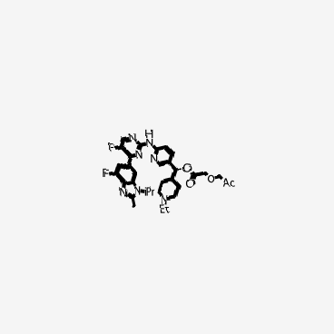 CCN1CCC([C@@H](OC(=O)COCC(C)=O)c2ccc(Nc3ncc(F)c(-c4cc(F)c5nc(C)n(C(C)C)c5c4)n3)nc2)CC1